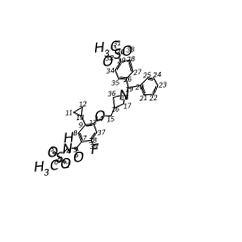 CS(=O)(=O)NC(=O)c1cc(C2CC2)c(OCC2CN(C(c3ccccc3)c3ccc(S(C)(=O)=O)cc3)C2)cc1F